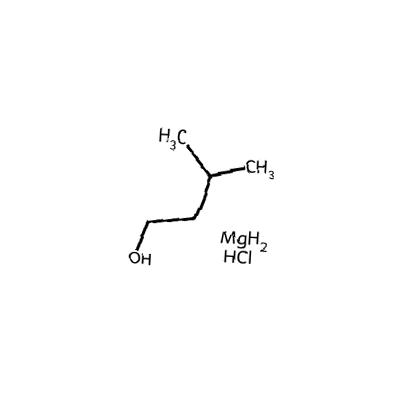 CC(C)CCO.Cl.[MgH2]